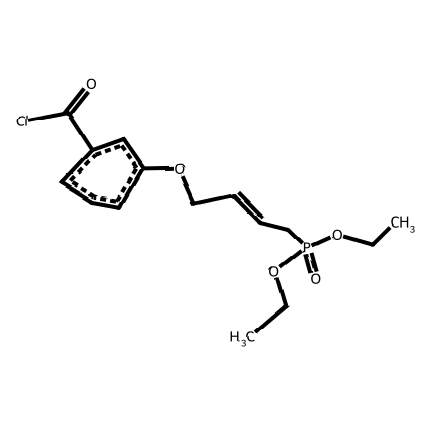 CCOP(=O)(C/C=C/COc1cccc(C(=O)Cl)c1)OCC